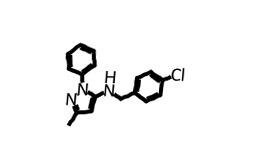 Cc1cc(NCc2ccc(Cl)cc2)n(-c2ccccc2)n1